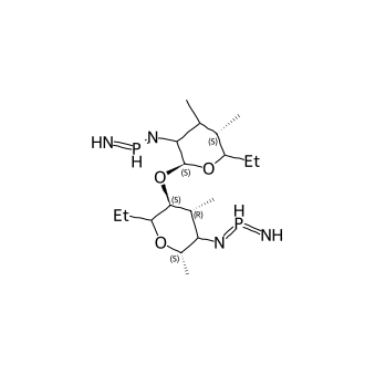 CCC1O[C@@H](O[C@@H]2C(CC)O[C@@H](C)C(N=[PH]=N)[C@H]2C)C(N=[PH]=N)C(C)[C@@H]1C